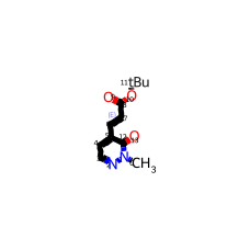 Cn1nccc(/C=C/C(=O)OC(C)(C)C)c1=O